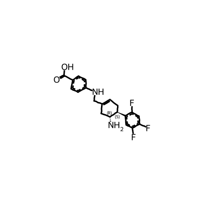 N[C@@H]1CC(CNc2ccc(C(=O)O)cc2)=CC[C@H]1c1cc(F)c(F)cc1F